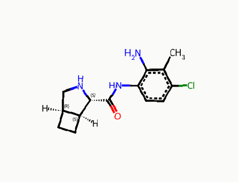 Cc1c(Cl)ccc(NC(=O)[C@H]2NC[C@@H]3CC[C@@H]32)c1N